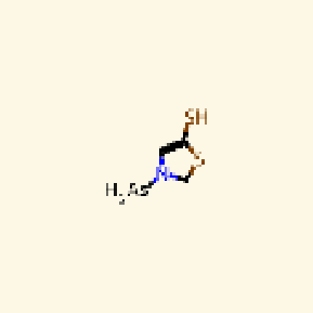 SC1=CN([AsH2])CS1